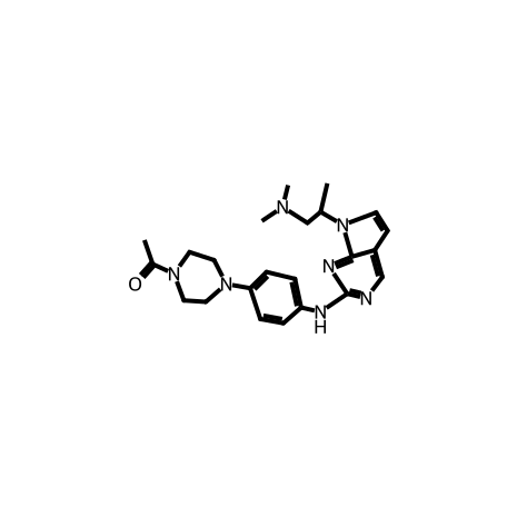 CC(=O)N1CCN(c2ccc(Nc3ncc4ccn(C(C)CN(C)C)c4n3)cc2)CC1